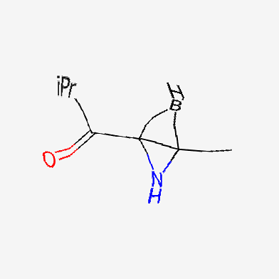 CC(C)C(=O)C12BC1(C)N2